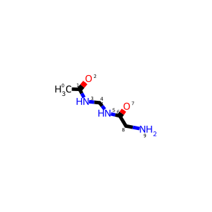 CC(=O)N[CH]NC(=O)CN